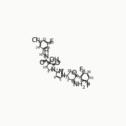 N[C@H]1CC(n2ccc(N3CC[C@](O)(C(=O)NCc4cc(F)cc(Cl)c4)C3=O)n2)CO[C@@H]1c1cc(F)ccc1F